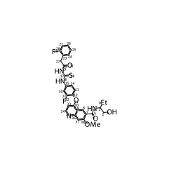 CC[C@@H](CO)NC(=O)c1cc2c(Oc3ccc(NC(=S)NC(=O)Cc4ccccc4F)cc3F)ccnc2cc1OC